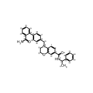 CC(NC(=O)c1ccc2c(c1)OCCN2Cc1ccc(-c2ccccc2C(N)=O)cc1)c1ccccc1